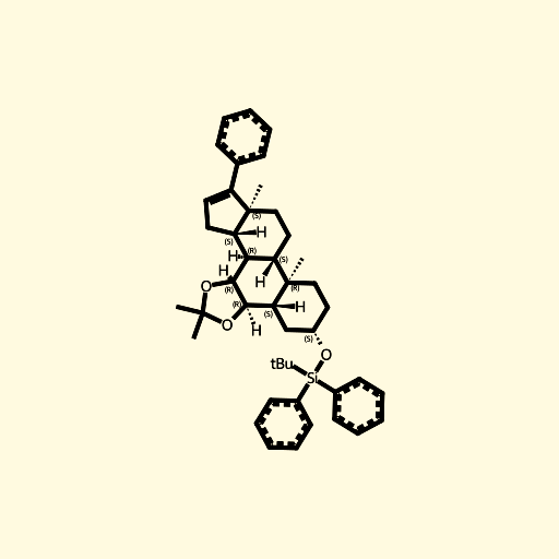 CC1(C)O[C@H]2[C@H](O1)[C@H]1C[C@@H](O[Si](c3ccccc3)(c3ccccc3)C(C)(C)C)CC[C@]1(C)[C@H]1CC[C@]3(C)C(c4ccccc4)=CC[C@H]3[C@H]21